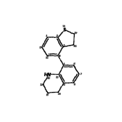 c1cc2c(c(-c3cccc4c3NCCC4)c1)CCS2